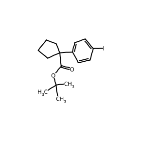 CC(C)(C)OC(=O)C1(c2ccc(I)cc2)CCCC1